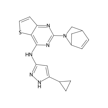 C1=CC2CC1CN2c1nc(Nc2cc(C3CC3)[nH]n2)c2sccc2n1